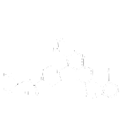 CNc1cnc2cc(-c3c(O)cccc3F)c(Cl)cc2c1N1CCN(C(=O)OC(C)(C)C)CC1